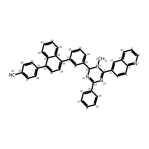 CN1C(c2ccc3ncccc3c2)=NC(c2ccccc2)=NC1c1cccc(-c2ccc(-c3ccc(C#N)cc3)c3ccccc23)c1